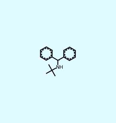 CC(C)(C)N[C](c1ccccc1)c1ccccc1